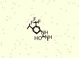 CNC(O)Nc1ccc(C(C)C)c(C(F)(F)F)c1